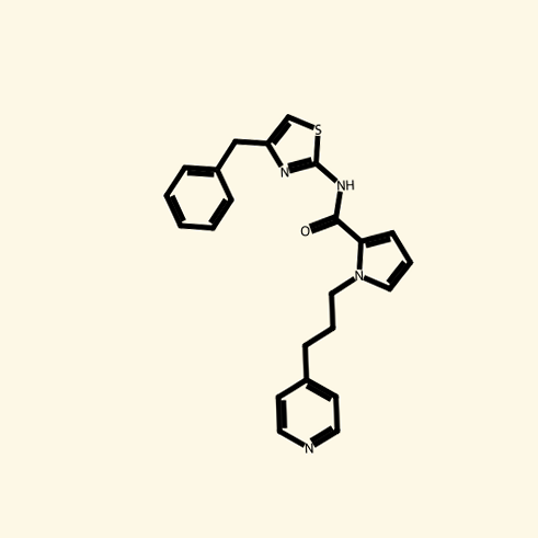 O=C(Nc1nc(Cc2ccccc2)cs1)c1cccn1CCCc1ccncc1